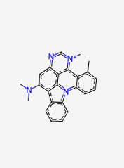 Cc1cccc2c1c1c3c(cc(N(C)C)c4c5ccccc5n2c43)nc[n+]1C